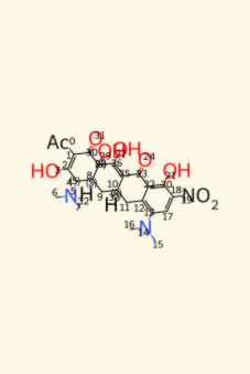 CC(=O)C1=C(O)[C@@H](N(C)C)[C@@H]2C[C@@H]3Cc4c(N(C)C)cc([N+](=O)[O-])c(O)c4C(=O)C3=C(O)[C@]2(O)C1=O